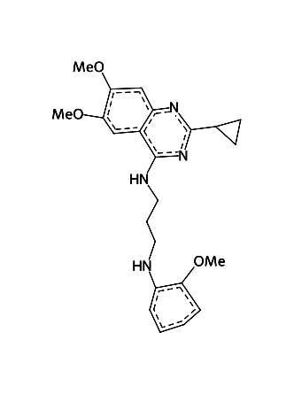 COc1ccccc1NCCCNc1nc(C2CC2)nc2cc(OC)c(OC)cc12